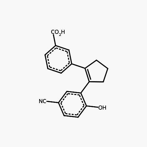 N#Cc1ccc(O)c(C2=C(c3cccc(C(=O)O)c3)CCC2)c1